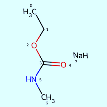 CCOC(=O)NC.[NaH]